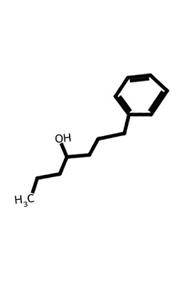 CCCC(O)CCCc1ccccc1